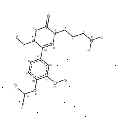 CCC1SC(=O)N(CCCN(C)C)N=C1c1ccc(OC(F)F)c(OC)c1